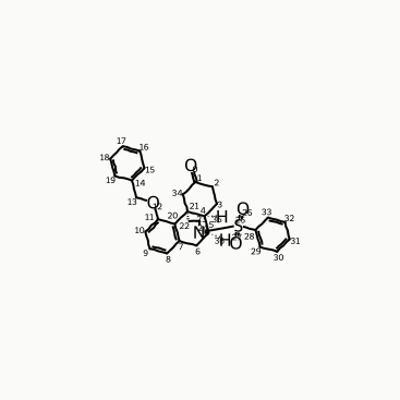 O=C1CC[C@H]2[C@H]3Cc4cccc(OCc5ccccc5)c4[C@@]2(CCN3S(=O)(=O)c2ccccc2)C1